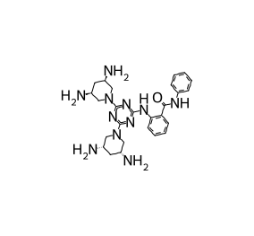 N[C@@H]1C[C@H](N)CN(c2nc(Nc3ccccc3C(=O)Nc3ccccc3)nc(N3C[C@H](N)C[C@H](N)C3)n2)C1